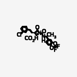 C[C@@H](NC(=O)N1C(=O)[C@H](CCc2cccc(Cl)c2)[C@H]1C(=O)O)c1ccc2c(c1)OC(F)(F)O2